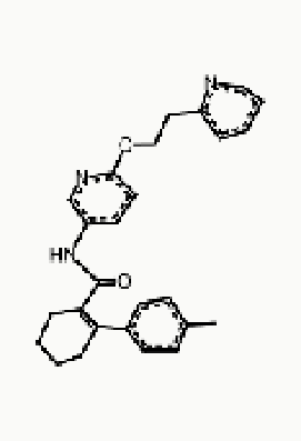 Cc1ccc(C2=C(C(=O)Nc3ccc(OCCc4ccccn4)nc3)CCCC2)cc1